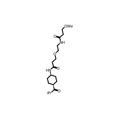 COCCC(=O)NCCOCCC(=O)N[C@H]1CC[C@@H](C(=O)C(C)C)CC1